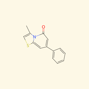 Cc1csc2cc(-c3ccccc3)cc(=O)n12